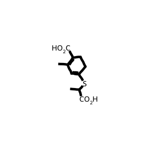 CC1=C(C(=O)O)CCC(SC(C)C(=O)O)=C1